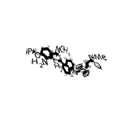 C=C(S/C(=N\C)c1ccc(OC(C)C)c(N)c1)c1cccc2c1CCC[C@@H]2NS(=O)(=O)CCC(=O)NC